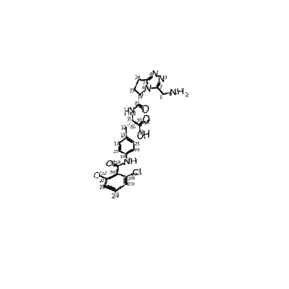 NCc1nnc2n1[C@H](C(=O)N[C@@H](Cc1ccc(NC(=O)c3c(Cl)cccc3Cl)cc1)C(=O)O)CC2